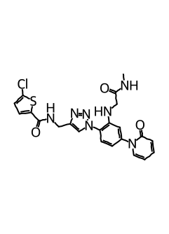 CNC(=O)CNc1cc(-n2ccccc2=O)ccc1-n1cc(CNC(=O)c2ccc(Cl)s2)nn1